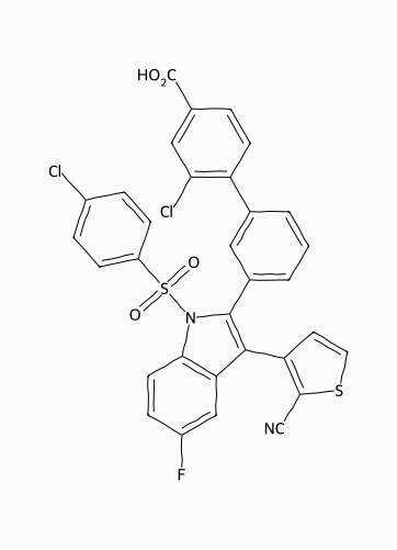 N#Cc1sccc1-c1c(-c2cccc(-c3ccc(C(=O)O)cc3Cl)c2)n(S(=O)(=O)c2ccc(Cl)cc2)c2ccc(F)cc12